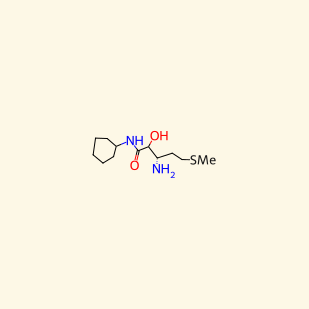 CSCC[C@H](N)C(O)C(=O)NC1CCCCC1